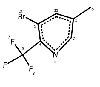 Cc1cnc(C(F)(F)F)c(Br)c1